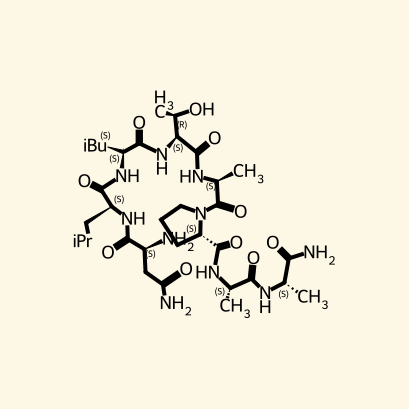 CC[C@H](C)[C@H](NC(=O)[C@H](CC(C)C)NC(=O)[C@@H](N)CC(N)=O)C(=O)N[C@H](C(=O)N[C@@H](C)C(=O)N1CCC[C@H]1C(=O)N[C@@H](C)C(=O)N[C@@H](C)C(N)=O)[C@@H](C)O